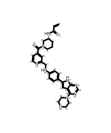 C=CC(=O)N[C@@H]1CCCN(C(=O)c2ccnc(CNc3ccc(-c4cc5c(N6CCOCC6)ncnc5[nH]4)cc3)c2)C1